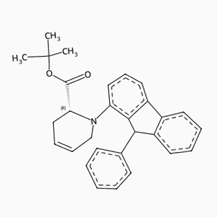 CC(C)(C)OC(=O)[C@H]1CC=CCN1c1cccc2c1C(c1ccccc1)c1ccccc1-2